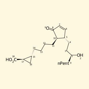 CCCCC[C@H](O)CC[C@H]1C=CC(=O)[C@@H]1CCCC[C@@H]1C[C@H]1C(=O)O